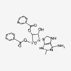 CC1N=C(N)C2=C(N1)N([C@@H]1O[C@H](COC(=O)c3ccccc3)C(OC(=O)c3ccccc3)C1O)CN2